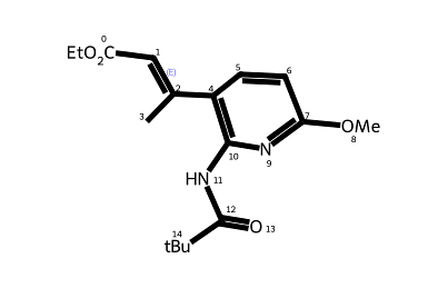 CCOC(=O)/C=C(\C)c1ccc(OC)nc1NC(=O)C(C)(C)C